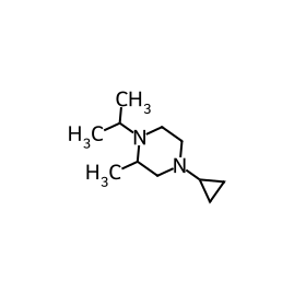 CC(C)N1CCN(C2CC2)CC1C